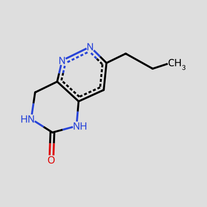 CCCc1cc2c(nn1)CNC(=O)N2